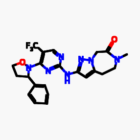 CN1CCc2cc(Nc3ncc(C(F)(F)F)c(N4OCCC4c4ccccc4)n3)nn2CC1=O